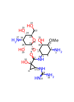 COC1[C@@H](N)C[C@@H](NC(=O)C2(O)CC2NC(=N)N)[C@H](O[C@H]2O[C@H](CO)[C@@H](O)[C@H](N)[C@H]2O)[C@H]1O